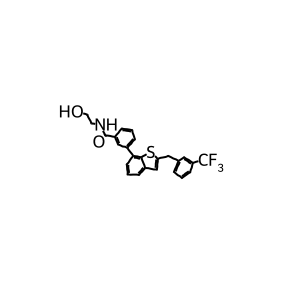 O=C(NCCO)c1cccc(-c2cccc3cc(Cc4cccc(C(F)(F)F)c4)sc23)c1